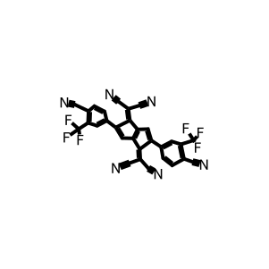 N#CC(C#N)=C1C(c2ccc(C#N)c(C(F)(F)F)c2)=CC2=C1C=C(c1ccc(C#N)c(C(F)(F)F)c1)C2=C(C#N)C#N